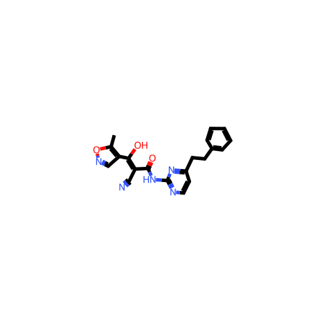 Cc1oncc1/C(O)=C(\C#N)C(=O)Nc1nccc(CCc2ccccc2)n1